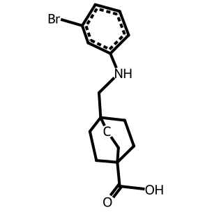 O=C(O)C12CCC(CNc3cccc(Br)c3)(CC1)CC2